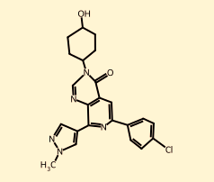 Cn1cc(-c2nc(-c3ccc(Cl)cc3)cc3c(=O)n(C4CCC(O)CC4)cnc23)cn1